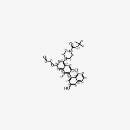 CC(C)(C)OC(=O)N1CCN(c2nc(OCC=O)nc3c(F)c(-c4cc(O)cc5ccccc45)c(Cl)cc23)CC1